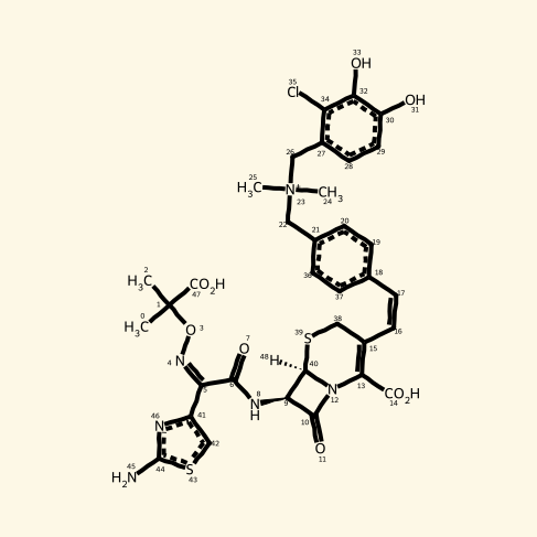 CC(C)(O/N=C(\C(=O)N[C@@H]1C(=O)N2C(C(=O)O)=C(/C=C\c3ccc(C[N+](C)(C)Cc4ccc(O)c(O)c4Cl)cc3)CS[C@H]12)c1csc(N)n1)C(=O)O